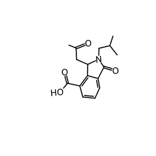 CC(=O)CC1c2c(C(=O)O)cccc2C(=O)N1CC(C)C